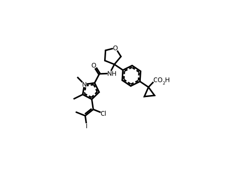 C/C(I)=C(/Cl)c1cc(C(=O)NC2(c3ccc(C4(C(=O)O)CC4)cc3)CCOC2)n(C)c1C